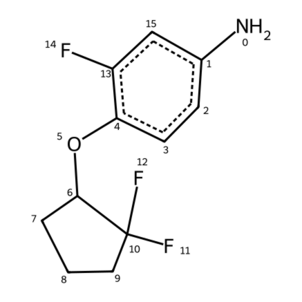 Nc1ccc(OC2CCCC2(F)F)c(F)c1